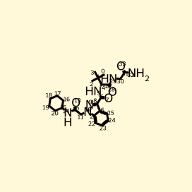 CC(C)(C)[C@H](NC(=O)c1nn(CC(=O)NC2CCCCC2)c2ccccc12)C(=O)NCC(N)=O